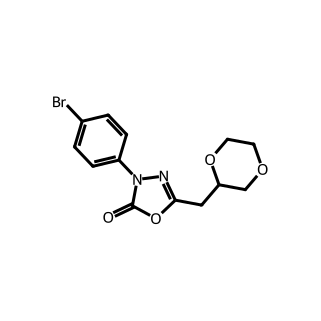 O=c1oc(CC2COCCO2)nn1-c1ccc(Br)cc1